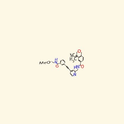 COCCNC(=O)c1cccc(C#Cc2ccnc(CNC(=O)c3ccc4c(c3)[C@](C)(C#N)COC4)c2)c1